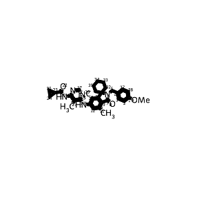 COc1ccc(CN2C(=O)c3c(C)cc(Nc4ncnc(NC(=O)C5CC5)c4C)c(C(F)(F)F)c3C23CCCCC3)cc1